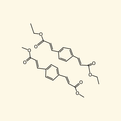 CCOC(=O)C=Cc1ccc(C=CC(=O)OCC)cc1.COC(=O)C=Cc1ccc(C=CC(=O)OC)cc1